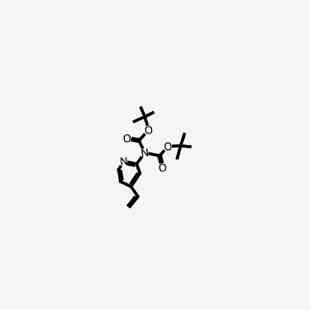 C=Cc1ccnc(N(C(=O)OC(C)(C)C)C(=O)OC(C)(C)C)c1